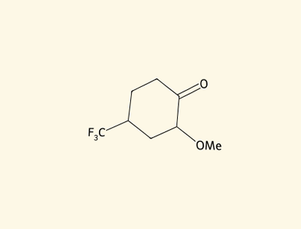 COC1CC(C(F)(F)F)CCC1=O